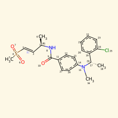 C[C@H](/C=C/S(C)(=O)=O)NC(=O)c1ccc(N(C)[C@@H](C)c2ccccc2Cl)cc1